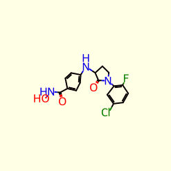 O=C(NO)c1ccc(NC2CCN(c3cc(Cl)ccc3F)C2=O)cc1